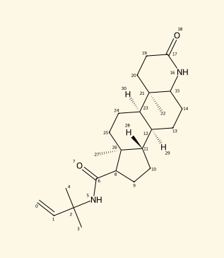 C=CC(C)(C)NC(=O)C1CC[C@H]2[C@@H]3CCC4NC(=O)CC[C@]4(C)[C@@H]3CC[C@]12C